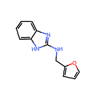 c1coc(CNc2nc3ccccc3[nH]2)c1